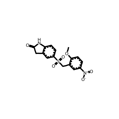 COc1ccc([N+](=O)[O-])cc1CS(=O)(=O)c1ccc2c(c1)CC(=O)N2